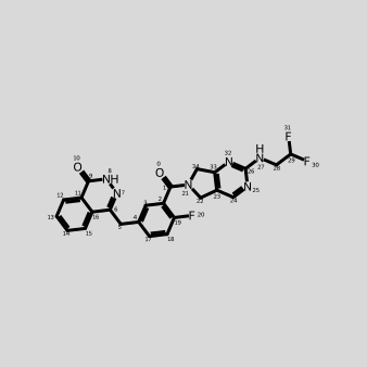 O=C(c1cc(Cc2n[nH]c(=O)c3ccccc23)ccc1F)N1Cc2cnc(NCC(F)F)nc2C1